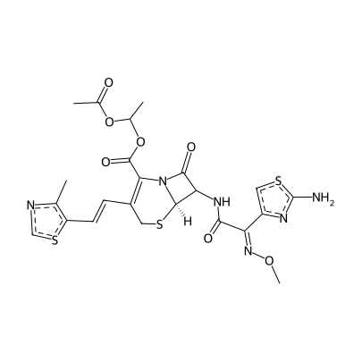 CO/N=C(/C(=O)NC1C(=O)N2C(C(=O)OC(C)OC(C)=O)=C(/C=C/c3scnc3C)CS[C@H]12)c1csc(N)n1